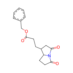 O=C(CCC1CC(=O)N2C(=O)CCC12)OCc1ccccc1